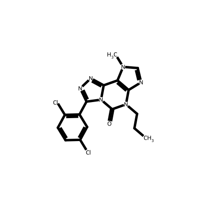 CCCn1c(=O)n2c(-c3cc(Cl)ccc3Cl)nnc2c2c1ncn2C